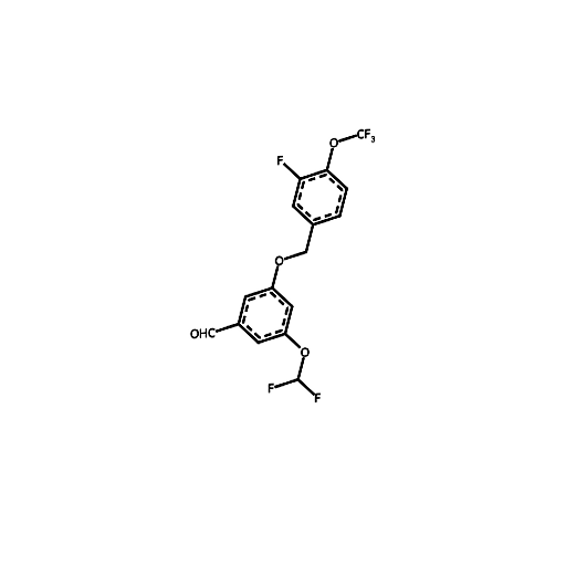 O=Cc1cc(OCc2ccc(OC(F)(F)F)c(F)c2)cc(OC(F)F)c1